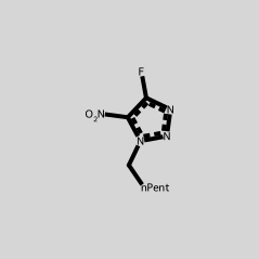 CCCCCCn1nnc(F)c1[N+](=O)[O-]